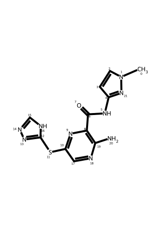 Cn1ccc(NC(=O)c2nc(Sc3nnc[nH]3)cnc2N)n1